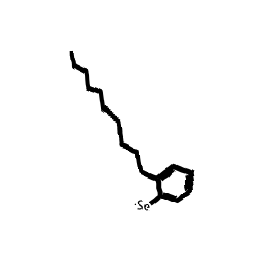 CCCCCCCCCCc1ccccc1[Se]